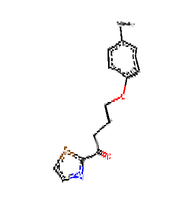 CNc1ccc(OCCCC(=O)c2nccs2)cc1